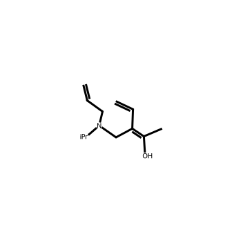 C=CCN(C/C(C=C)=C(/C)O)C(C)C